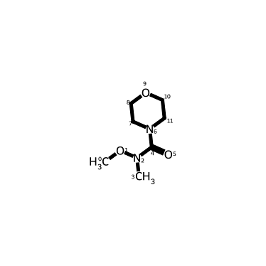 CON(C)C(=O)N1CCOCC1